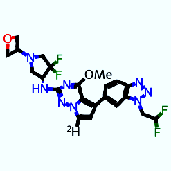 [2H]c1cc(-c2ccc3nnn(CC(F)F)c3c2)c2c(OC)nc(N[C@@H]3CN(C4COC4)CC3(F)F)nn12